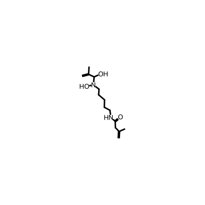 C=C(C)CC(=O)NCCCCCN(O)C(O)C(=C)C